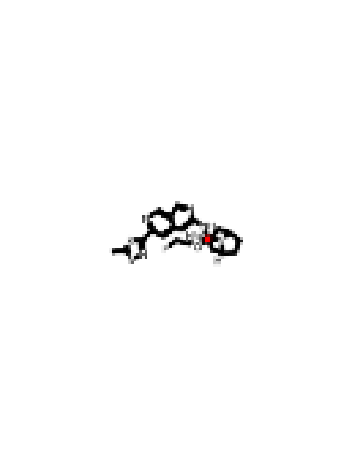 Cc1nnc(-c2cc3cc(NC(=O)N4C5CC[C@H]4C[C@@H](NCCF)C5)ncc3cn2)s1